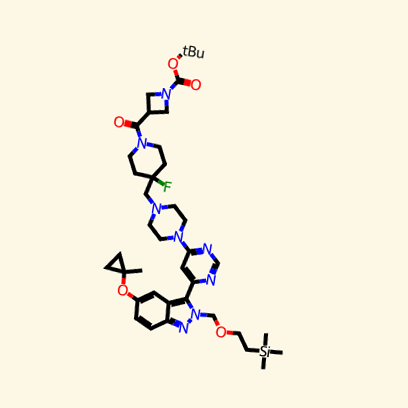 CC(C)(C)OC(=O)N1CC(C(=O)N2CCC(F)(CN3CCN(c4cc(-c5c6cc(OC7(C)CC7)ccc6nn5COCC[Si](C)(C)C)ncn4)CC3)CC2)C1